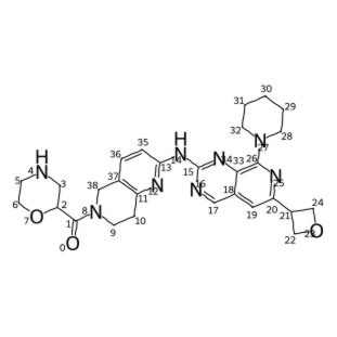 O=C(C1CNCCO1)N1CCc2nc(Nc3ncc4cc(C5COC5)nc(N5CCCCC5)c4n3)ccc2C1